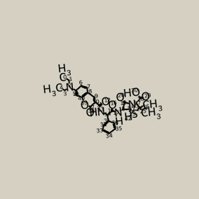 CCN(CC)c1ccc2cc(C(=O)NC(C(=O)N[C@@H]3C(=O)N4[C@@H]3SC(C)(C)[C@@H]4C(=O)O)c3ccccc3)c(=O)oc2c1